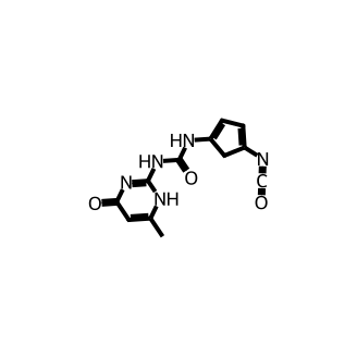 Cc1cc(=O)nc(NC(=O)NC2=CC=C(N=C=O)C2)[nH]1